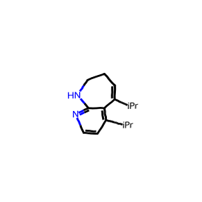 CC(C)C1=CCCNc2nccc(C(C)C)c21